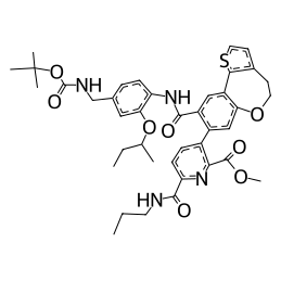 CCCNC(=O)c1ccc(-c2cc3c(cc2C(=O)Nc2ccc(CNC(=O)OC(C)(C)C)cc2OC(C)CC)-c2sccc2CCO3)c(C(=O)OC)n1